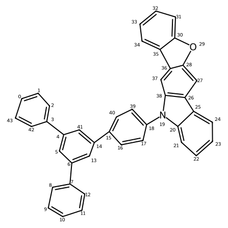 c1ccc(-c2cc(-c3ccccc3)cc(-c3ccc(-n4c5ccccc5c5cc6oc7ccccc7c6cc54)cc3)c2)cc1